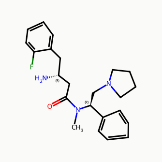 CN(C(=O)C[C@H](N)Cc1ccccc1F)[C@@H](CN1CCCC1)c1ccccc1